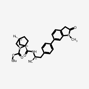 CN1C(=O)Cc2ccc(-c3ccc(C[C@@H](C#N)NC(=O)[C@@]45CC[C@H](CN4C(=O)OC(C)(C)C)C5)cc3)cc21